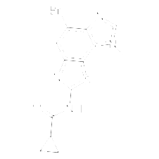 Cn1cnc2c(Br)cc3nc(NC(=O)C4CC4)sc3c21